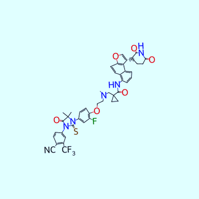 CN(CCOc1ccc(N2C(=S)N(c3ccc(C#N)c(C(F)(F)F)c3)C(=O)C2(C)C)cc1F)CC1(C(=O)Nc2cccc3c2ccc2occ([C@H]4CCC(=O)NC4=O)c23)CC1